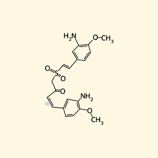 COc1ccc(C=CS(=O)(=O)CC(=O)/C=C\c2ccc(OC)c(N)c2)cc1N